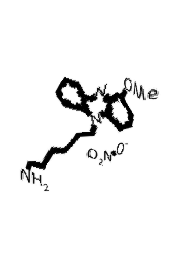 COc1cccc2c1nc1ccccc1[n+]2CCCCCCN.O=[N+]([O-])[O-]